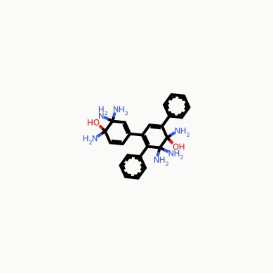 NC1(N)C=C(C2=C(c3ccccc3)C(N)(N)C(N)(O)C(c3ccccc3)=C2)C=CC1(N)O